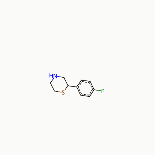 Fc1ccc([C]2CNCCS2)cc1